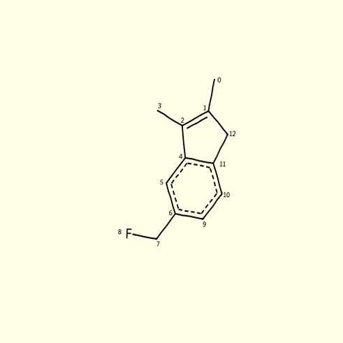 CC1=C(C)c2cc(CF)ccc2C1